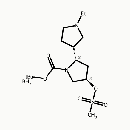 B.CCN1CCC([C@@H]2C[C@@H](OS(C)(=O)=O)CN2C(=O)OC(C)(C)C)C1